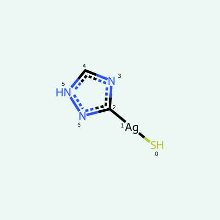 [SH][Ag][c]1nc[nH]n1